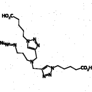 [N-]=[N+]=NCCCN(Cc1cn(CCCCC(=O)O)nn1)Cc1cn(CCCCC(=O)O)nn1